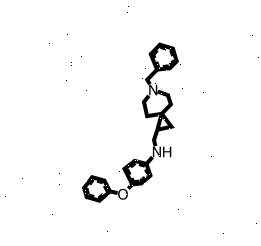 c1ccc(CN2CCC3(CC2)CC3CNc2ccc(Oc3ccccc3)cc2)cc1